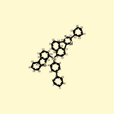 c1ccc(-c2ccc(N(c3ccc4c5c(cccc35)-c3sc(-c5ccccc5)nc3-4)c3cccc4c3sc3ccccc34)cc2)cc1